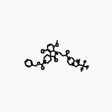 COc1ccc(Cl)c2c1N(CCC(=O)N1CCN3CC(C(F)(F)F)=NC3C1)C(=O)C21CCN(C(=O)OCc2ccccc2)CC1